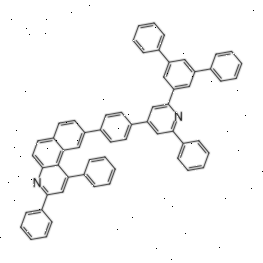 c1ccc(-c2cc(-c3ccccc3)cc(-c3cc(-c4ccc(-c5ccc6ccc7nc(-c8ccccc8)cc(-c8ccccc8)c7c6c5)cc4)cc(-c4ccccc4)n3)c2)cc1